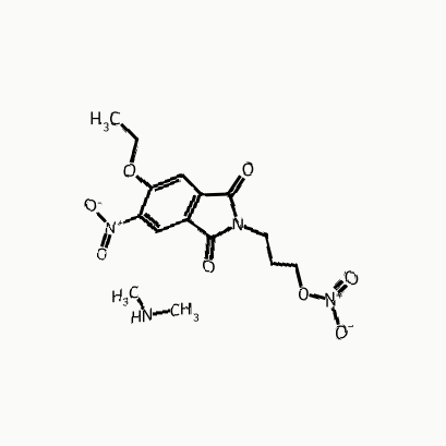 CCOc1cc2c(cc1[N+](=O)[O-])C(=O)N(CCCO[N+](=O)[O-])C2=O.CNC